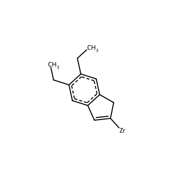 CCc1cc2c(cc1CC)C[C]([Zr])=C2